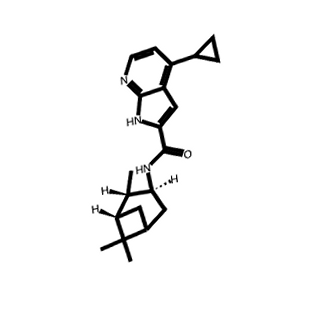 C[C@@H]1[C@@H](NC(=O)c2cc3c(C4CC4)ccnc3[nH]2)CC2C[C@@H]1C2(C)C